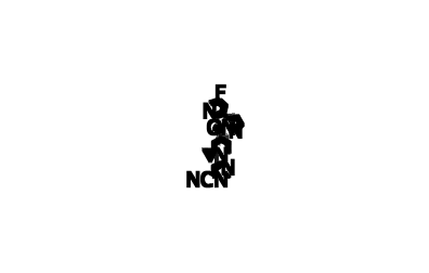 N#Cc1cc(N2CC[C@@H](C(=O)N3N=CC[C@@H]3c3cncc(F)c3)CC23CC3)ncn1